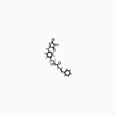 O=C(CC=Cc1ccccc1)NCCc1ccc(CC2SC(=O)NC2=O)cc1